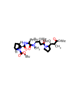 CC[C@H](C)[C@@H]([C@@H](CC(=O)N1CCCC1[C@H](OC)[C@@H](C)C(=O)OC)OC)N(C)C(=O)C(NC(=O)[C@@H]1[C@H]2CC[C@H](C2)N1C(=O)OC(C)(C)C)C(C)C